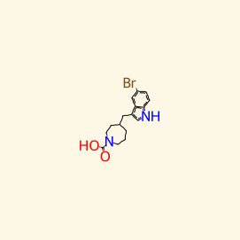 O=C(O)N1CCCC(Cc2c[nH]c3ccc(Br)cc23)CC1